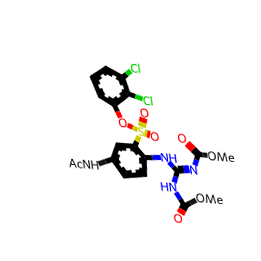 COC(=O)N=C(NC(=O)OC)Nc1ccc(NC(C)=O)cc1S(=O)(=O)Oc1cccc(Cl)c1Cl